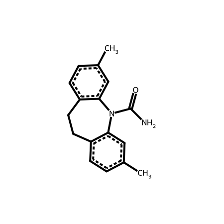 Cc1ccc2c(c1)N(C(N)=O)c1cc(C)ccc1CC2